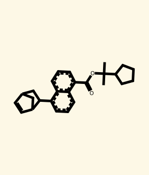 CC(C)(OC(=O)c1cccc2c(C3CC4C=CC3C4)cccc12)C1CCCC1